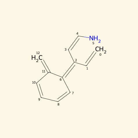 C=CC(/C=C\N)=c1\ccccc1=C